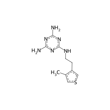 Cc1cscc1CCNc1nc(N)nc(N)n1